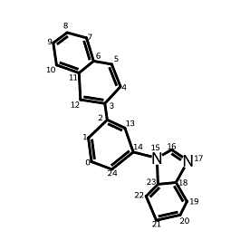 c1cc(-c2ccc3ccccc3c2)cc(-n2cnc3ccccc32)c1